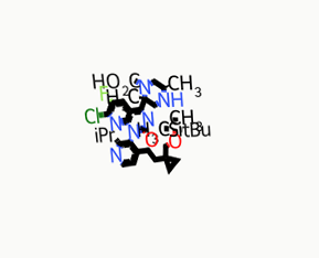 CC(C)c1nccc(CCC2(CO[Si](C)(C)C(C)(C)C)CC2)c1-n1c(=O)nc([C@@]2(C)CN[C@@H](C)CN2C(=O)O)c2cc(F)c(Cl)nc21